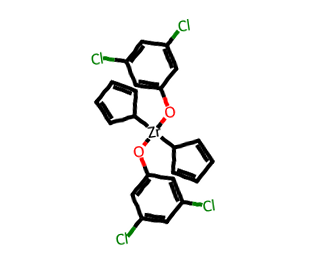 Clc1cc(Cl)cc([O][Zr]([O]c2cc(Cl)cc(Cl)c2)([CH]2C=CC=C2)[CH]2C=CC=C2)c1